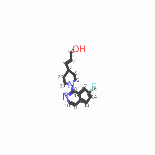 OCC=CC1CCN(c2nccc3ccc(F)cc23)CC1